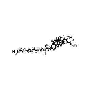 CC(C)CCC[C@@H](C)[C@H]1CC[C@H]2[C@@H]3CC=C4C[C@@H](OC(=O)NCCOCCOCCOCCN)CC[C@]4(C)[C@H]3CC[C@]12C